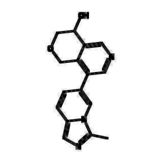 Cc1ncc2ccc(-c3cncc4c3COCC4O)cn12